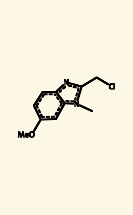 COc1ccc2nc(CCl)n(C)c2c1